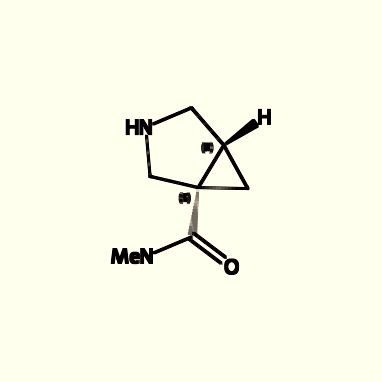 CNC(=O)[C@]12CNC[C@@H]1C2